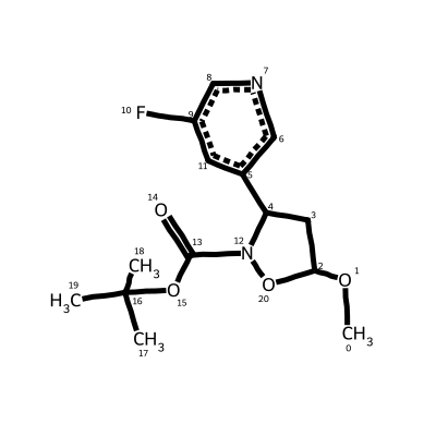 COC1CC(c2cncc(F)c2)N(C(=O)OC(C)(C)C)O1